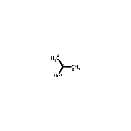 C[CH](C)[Ir+2]